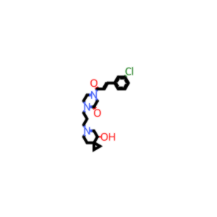 O=C(C=Cc1cccc(Cl)c1)N1CCN(CCCN2CCC3(CC3)[C@H](O)C2)C(=O)C1